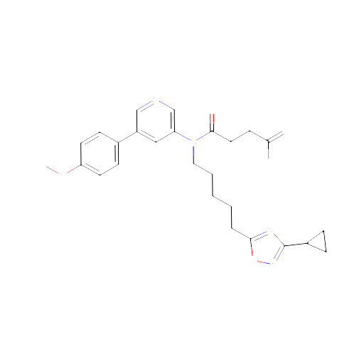 C=C(F)CCC(=O)N(CCCCCc1nc(C2CC2)no1)c1cncc(-c2ccc(OCC)cc2)c1